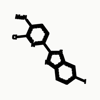 CNc1ccc(-c2nc3ccc(I)cc3s2)nc1Cl